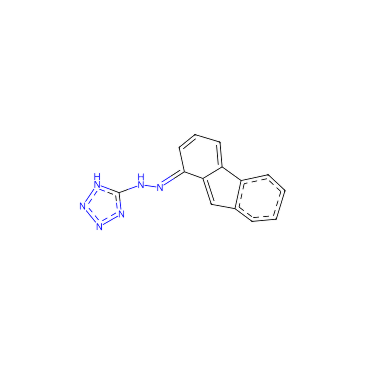 C1=CC(=NNc2nnn[nH]2)C2=Cc3ccccc3C2=C1